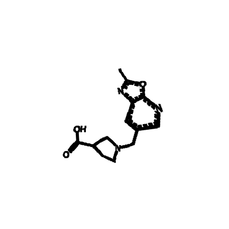 Cc1nc2cc(CN3CCC(C(=O)O)C3)cnc2o1